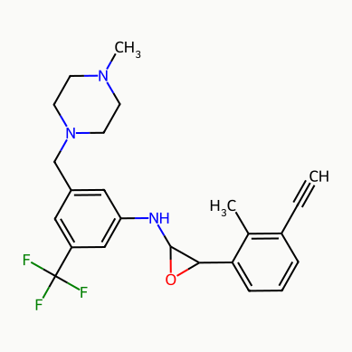 C#Cc1cccc(C2OC2Nc2cc(CN3CCN(C)CC3)cc(C(F)(F)F)c2)c1C